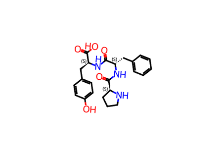 O=C(O)[C@H](Cc1ccc(O)cc1)NC(=O)[C@H](Cc1ccccc1)NC(=O)[C@@H]1CCCN1